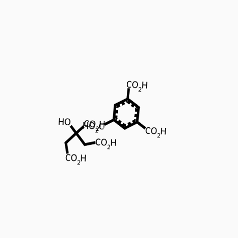 O=C(O)CC(O)(CC(=O)O)C(=O)O.O=C(O)c1cc(C(=O)O)cc(C(=O)O)c1